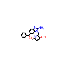 Cc1ccc(O)c(Cn2c(N)nc3ccc(C(O)c4ccccc4)cc32)n1